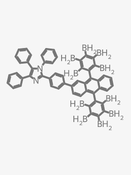 Bc1c(B)c(B)c(-c2c3ccccc3c(-c3c(B)c(B)c(B)c(B)c3B)c3cc(-c4ccc(-c5nc(-c6ccccc6)c(-c6ccccc6)n5-c5ccccc5)cc4)ccc23)c(B)c1B